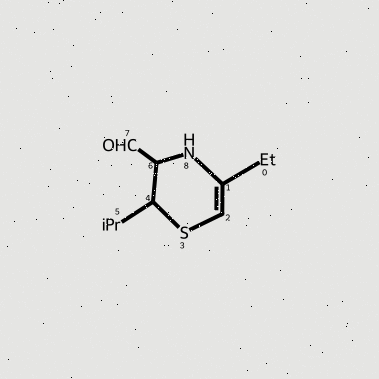 CCC1=CSC(C(C)C)C(C=O)N1